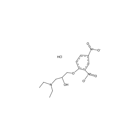 CCN(CC)CC(O)COc1ccc([N+](=O)[O-])cc1[N+](=O)[O-].Cl